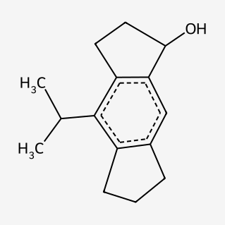 CC(C)c1c2c(cc3c1CCC3O)CCC2